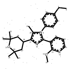 CCc1ccc(-n2c(-c3cccnc3OC)nc(C3CC(C)(C)OC(C)(C)C3)c2C)cc1